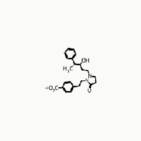 C[C@H](c1ccccc1)C(O)CCN1CCC(=O)N1CCc1ccc(C(=O)O)cc1